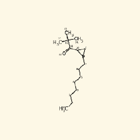 CCCCCCCCC1CC1C(=O)C(C)(C)C